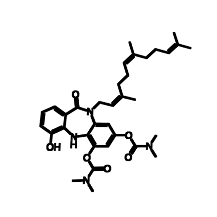 CC(C)=CCCC(C)=CCCC(C)=CCN1C(=O)c2cccc(O)c2Nc2c(OC(=O)N(C)C)cc(OC(=O)N(C)C)cc21